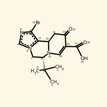 CC(C)(C)[C@@H]1Cn2cnc(Br)c2C2CC(=O)C(C(=O)O)=CN21